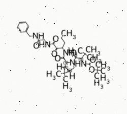 CCCC(NC(=O)[C@@H]1[C@@H]2[C@H](CN1C(=O)[C@@H](NC(=O)OC(C)(C)C)C(C)(C)C)C2(C)C)C(=O)C(=O)NCC(=O)NCc1ccccc1